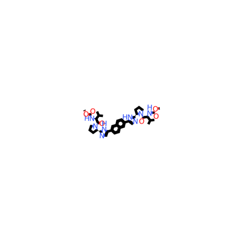 COC(=O)NC(C(=O)N1CCC[C@H]1c1ncc(-c2ccc3cc(-c4cnc([C@@H]5CCCN5C(=O)[C@@H](NC(=O)OC)C(C)C)[nH]4)ccc3c2)[nH]1)C(C)C